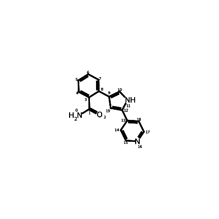 NC(=O)c1ccccc1-c1c[nH]c(-c2ccncc2)c1